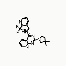 CC1(C)CCN(c2nc(NCc3cccnc3C(F)(F)P)c3cccnc3n2)C1